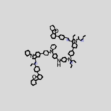 C=C/C=C\C(=C)n1c(C=C)c(/C=C/c2ccc(-c3cccc4c5c(oc34)C=CCC5)cc2)c2cc(-c3ccc(N(/C(C=C)=C/C=C)c4ccc(Nc5ccc(N(C6=CC=C(c7ccc8c(c7)c(/C=C(\C=C)c7ccc(-c9cccc%10c9oc9ccccc9%10)cc7)cn8-c7ccccc7)CC6)C6C=CC=CC6)cc5)cc4)cc3)ccc21